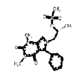 C[C@H](Cn1cc2c(c1-c1ccccc1)c(=O)n(C)c(=O)n2C)OS(C)(=O)=O